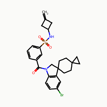 C=C1CC(NS(=O)(=O)c2cccc(C(=O)N3CC4(CCC5(CC5)CC4)c4cc(Br)ccc43)c2)C1